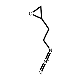 [N-]=[N+]=NCCC1CO1